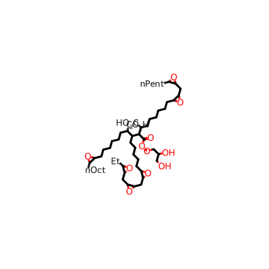 CCCCCCCCC1OC1CCCCCCC(C(=O)O)C(CCCCCC1OC1CC1OC1CC1OC1CC)C(C(=O)OOCC(O)CO)C(CCCCCCC1OC1CC1OC1CCCCC)C(=O)O